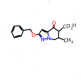 CC1Cn2nc(OCc3ccccc3)cc2C(=O)C1C(=O)O